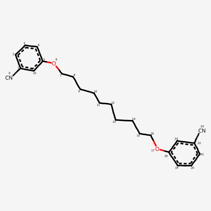 [C-]#[N+]c1cccc(OCCCCCCCCCCOc2cccc(C#N)c2)c1